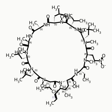 C/C=C/C[C@@H](C)[C@@H](O)[C@H]1C(=O)N[C@@H](CC)C(=O)N(C)[C@H](CC[N+](=O)[O-])C(=O)N(C)[C@@H](CC(C)(C)C)C(=O)N[C@@H](C(C)C)C(=O)N(C)[C@@H](CC(C)C)C(=O)N[C@@H](C)C(=O)N[C@H](C)C(=O)N(C)[C@@H](CC(C)C)C(=O)N(C)[C@@H](CC(C)C)C(=O)N(C)[C@@H](C(C)C)C(=O)N1C